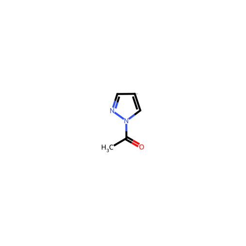 CC(=O)n1c[c]cn1